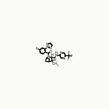 C[C@@H]1C2CC(C2)N(C(=O)c2ccc(F)cc2-n2nccn2)[C@@H]1CNc1cnc(C(F)(F)F)cn1